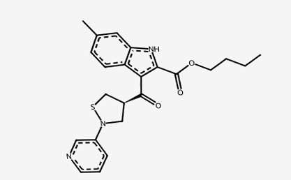 CCCCOC(=O)c1[nH]c2cc(C)ccc2c1C(=O)[C@@H]1CSN(c2cccnc2)C1